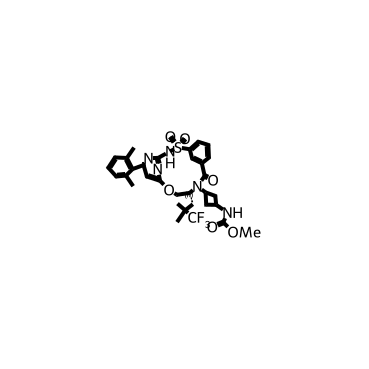 COC(=O)NC1CC(N2C(=O)c3cccc(c3)S(=O)(=O)Nc3nc(cc(-c4c(C)cccc4C)n3)OC[C@H]2CC(C)(C)C(F)(F)F)C1